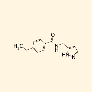 CCc1ccc(C(=O)NCc2ccn[nH]2)cc1